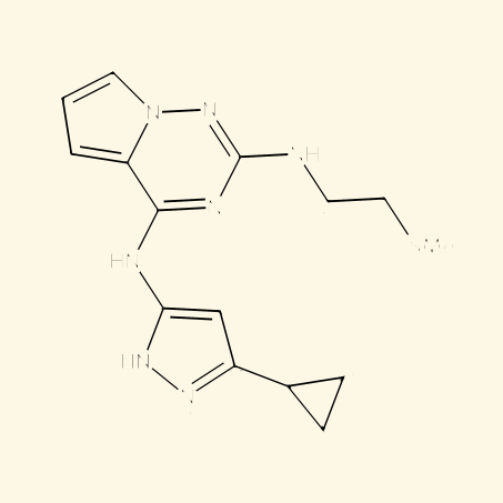 CSCCNc1nc(Nc2cc(C3CC3)n[nH]2)c2cccn2n1